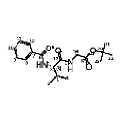 CC(C)[C@H](NC(=O)c1ccccc1)C(=O)NCC(=O)OC(C)(C)C